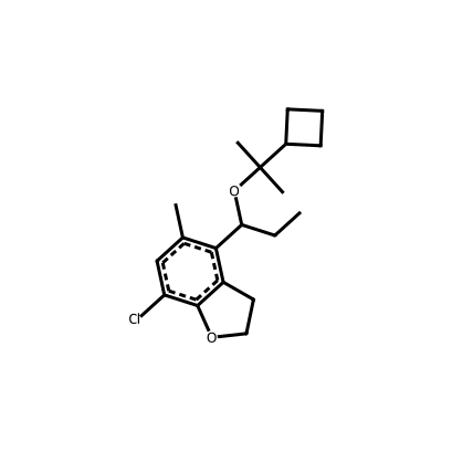 CCC(OC(C)(C)C1CCC1)c1c(C)cc(Cl)c2c1CCO2